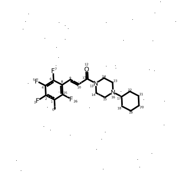 Cc1c(F)c(F)c(F)c(C=CC(=O)N2CCN(C3CCCCC3)CC2)c1F